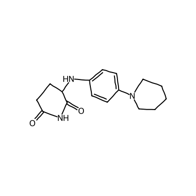 O=C1CCC(Nc2ccc(N3CCCCC3)cc2)C(=O)N1